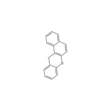 [CH]1c2ccccc2Oc2ccc3ccccc3c21